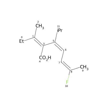 CC/C(C)=C(C(=O)O)/C(=C\C=C(/C)F)C(C)C